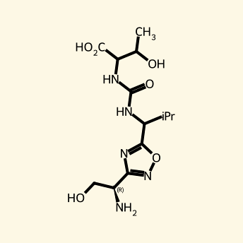 CC(C)C(NC(=O)NC(C(=O)O)C(C)O)c1nc([C@@H](N)CO)no1